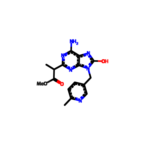 COC(=O)C(C)c1nc(N)c2nc(O)n(Cc3ccc(C)nc3)c2n1